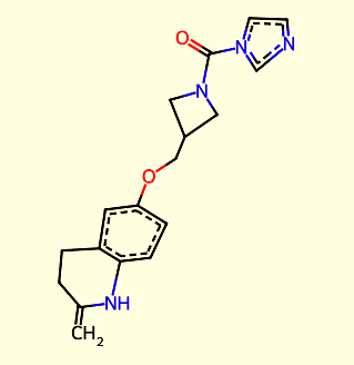 C=C1CCc2cc(OCC3CN(C(=O)n4ccnc4)C3)ccc2N1